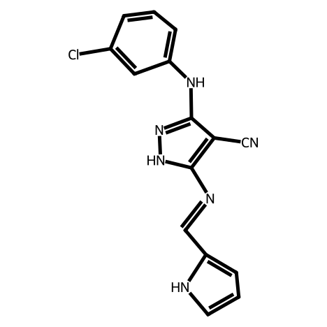 N#Cc1c(Nc2cccc(Cl)c2)n[nH]c1/N=C/c1ccc[nH]1